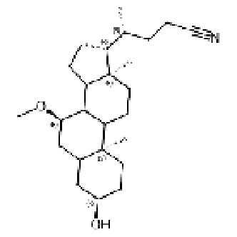 CO[C@@H]1CC2C[C@H](O)CC[C@]2(C)C2CC[C@@]3(C)C(CC[C@@H]3[C@H](C)CCC#N)C21